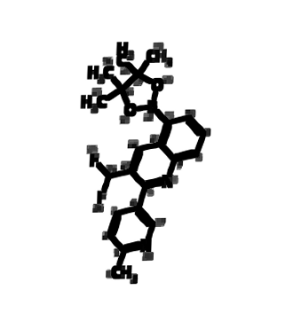 Cc1ccc(-c2nc3cccc(B4OC(C)(C)C(C)(C)O4)c3cc2C(F)F)cn1